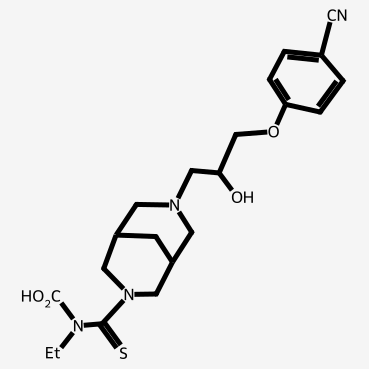 CCN(C(=O)O)C(=S)N1CC2CC(CN(CC(O)COc3ccc(C#N)cc3)C2)C1